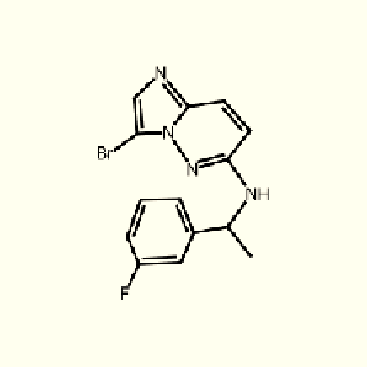 CC(Nc1ccc2ncc(Br)n2n1)c1cccc(F)c1